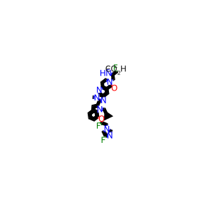 Cn1c(-c2cc3cccc(OC(F)Cn4cnc(F)c4)c3n2CC2CC2)nc2cc3c(nc21)CCN(CC(CF)NC(=O)O)C3=O